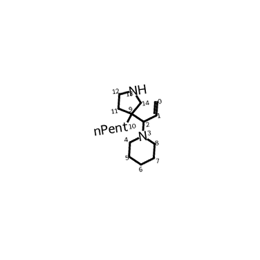 C=CC(N1CCCCC1)C1(CCCCC)CCNC1